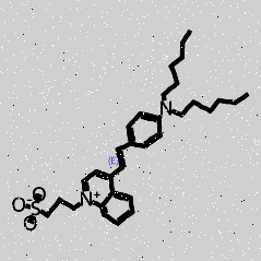 CCCCCCN(CCCCCC)c1ccc(/C=C/c2cc[n+](CCCS(=O)(=O)[O-])c3ccccc23)cc1